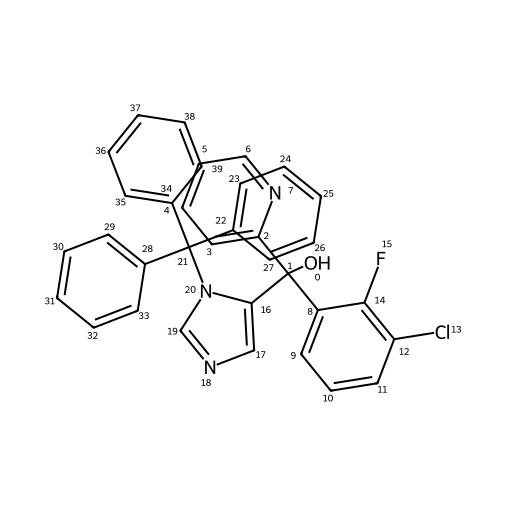 OC(c1ccccn1)(c1cccc(Cl)c1F)c1cncn1C(c1ccccc1)(c1ccccc1)c1ccccc1